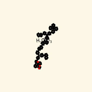 CC1(C)c2ccc(-c3ccc4cc(-c5cccc(N(c6ccc(-c7ccc8c(c7)C(c7ccccc7)(c7ccccc7)c7ccccc7-8)cc6)c6ccc(-c7cccc8ccccc78)cc6)c5)ccc4c3)cc2-c2cccc(-c3ccc(N(c4ccc(-c5ccc6c(c5)C(c5ccccc5)(c5ccccc5)c5ccccc5-6)cc4)c4cccc(-c5ccc6ccccc6c5)c4)cc3)c21